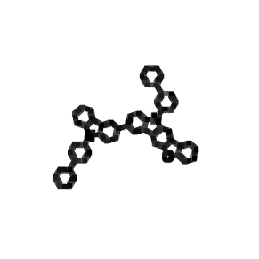 c1ccc(-c2ccc(-n3c4ccccc4c4cc(-c5ccc6c(c5)c5cc7oc8ccccc8c7cc5n6-c5cccc(-c6ccccc6)c5)ccc43)cc2)cc1